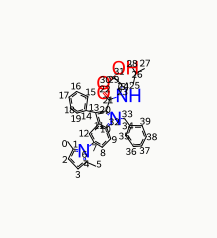 Cc1ccc(C)n1-c1ccc2c(c1)c(-c1ccccc1)c(C(=O)N[C@@H](CC(C)C)C(=O)O)n2Cc1ccccc1